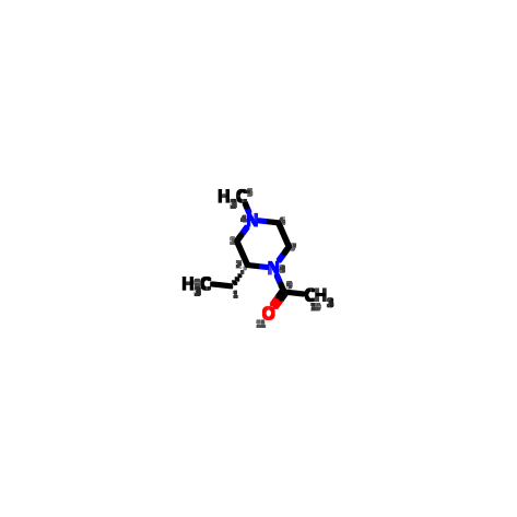 CC[C@@H]1CN(C)CCN1C(C)=O